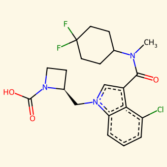 CN(C(=O)c1cn(C[C@@H]2CCN2C(=O)O)c2cccc(Cl)c12)C1CCC(F)(F)CC1